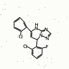 Fc1cccc(Cl)c1C1C=C(c2ccccc2Cl)Nc2ncnn21